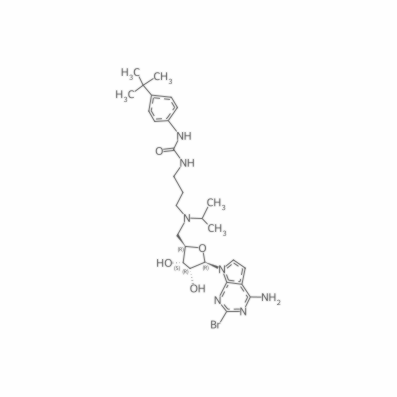 CC(C)N(CCCNC(=O)Nc1ccc(C(C)(C)C)cc1)C[C@H]1O[C@@H](n2ccc3c(N)nc(Br)nc32)[C@H](O)[C@@H]1O